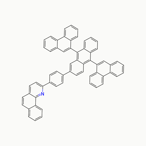 c1ccc2c(c1)cc(-c1c3ccccc3c(-c3cc4ccccc4c4ccccc34)c3cc(-c4ccc(-c5ccc6ccc7ccccc7c6n5)cc4)ccc13)c1ccccc12